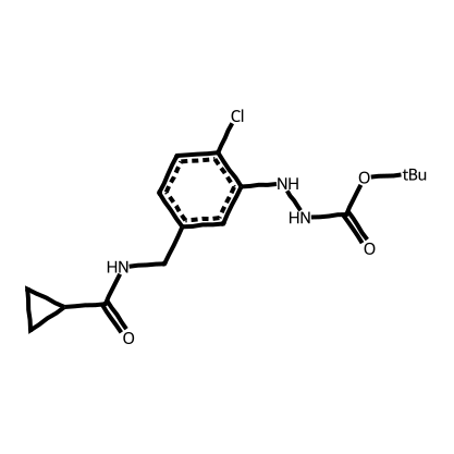 CC(C)(C)OC(=O)NNc1cc(CNC(=O)C2CC2)ccc1Cl